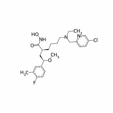 CCN(CCCC[C@@H](C[C@@H](OC)c1ccc(F)c(C)c1)C(=O)NO)Cc1ccc(Cl)cn1